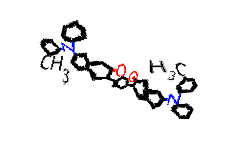 Cc1cccc(N(c2ccccc2)c2ccc3c(c2)=CC2Oc4c(ccc5c4oc4cc6cc(N(c7ccccc7)c7cccc(C)c7)ccc6cc45)C2C=3)c1